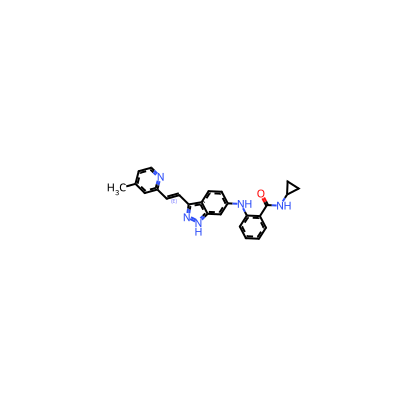 Cc1ccnc(/C=C/c2n[nH]c3cc(Nc4ccccc4C(=O)NC4CC4)ccc23)c1